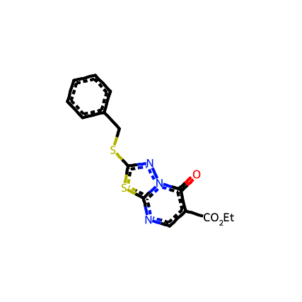 CCOC(=O)c1cnc2sc(SCc3ccccc3)nn2c1=O